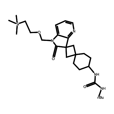 CCCCNC(=O)NC1CCC2(CC1)CC1(C2)C(=O)N(COCC[Si](C)(C)C)c2cccnc21